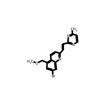 COCc1cc(Br)cc2nc(/C=C/c3nccc(C)n3)ccc12